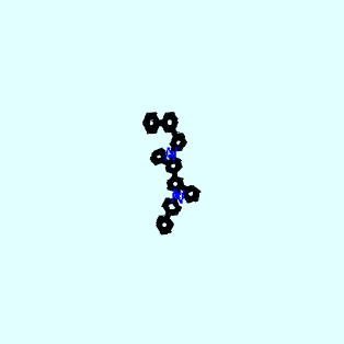 C1=CC(n2c3ccccc3c3cc(-c4ccc5c(c4)c4ccccc4n5-c4cccc(-c5cccc(-c6ccccc6)c5)c4)ccc32)CC=C1c1ccccc1